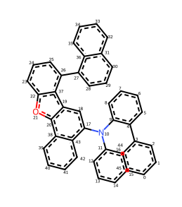 c1ccc(-c2ccccc2N(c2ccccc2)c2cc3c(oc4cccc(-c5cccc6ccccc56)c43)c3ccccc23)cc1